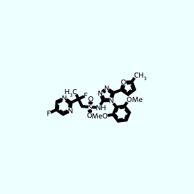 COc1cccc(OC)c1-n1c(NS(=O)(=O)CC(C)(F)c2ncc(F)cn2)nnc1-c1ccc(C)o1